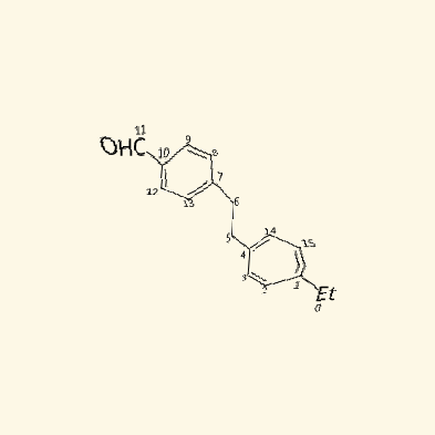 CCc1ccc(CCc2ccc(C=O)cc2)cc1